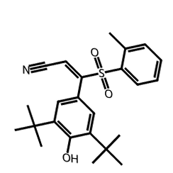 Cc1ccccc1S(=O)(=O)C(=CC#N)c1cc(C(C)(C)C)c(O)c(C(C)(C)C)c1